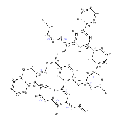 C=C/C=C\C=C(/C)C1C=C(C(C)C/C=C2\CCC3C=CC=CC3N2C(=C)/C=C\C=C/C)C=CC1NC(=C/CC)/C=C(\C)C1=CC=CC(c2nc(/C(C)=C/C=C\CC)nc(C3C=CC=CC3)n2)C1